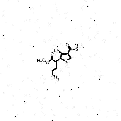 CCCC(C(=O)OC)C1SCC(C(=O)OC)=C1N